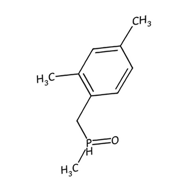 Cc1ccc(C[PH](C)=O)c(C)c1